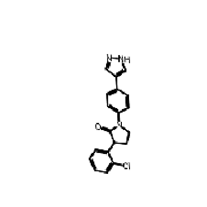 O=C1C(c2ccccc2Cl)CCN1c1ccc(-c2cn[nH]c2)cc1